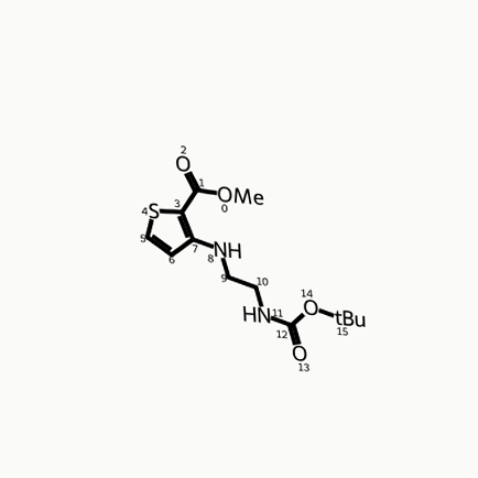 COC(=O)c1sccc1NCCNC(=O)OC(C)(C)C